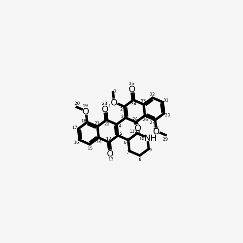 COC1=C(C2=C(C3CCCNC3)C(=O)c3cccc(OC)c3C2=O)C(=O)c2c(OC)cccc2C1=O